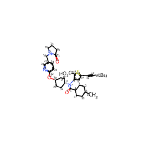 CC1CCC(C(=O)N(c2cc(C#CC(C)(C)C)sc2C(=O)O)[C@H]2CC[C@H](Oc3ccc(CN4CCCC4=O)cn3)CC2)CC1